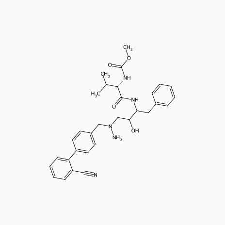 COC(=O)N[C@H](C(=O)NC(Cc1ccccc1)C(O)CN(N)Cc1ccc(-c2ccccc2C#N)cc1)C(C)C